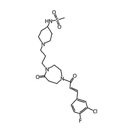 CS(=O)(=O)NC1CCN(CCCN2CCN(C(=O)C=Cc3ccc(F)c(Cl)c3)CCC2=O)CC1